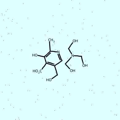 Cc1ncc(CO)c(C(=O)O)c1O.OCN(CO)CO